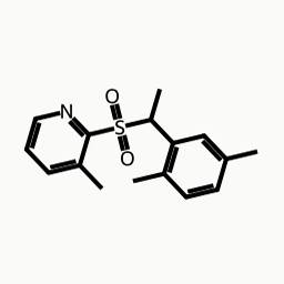 Cc1ccc(C)c(C(C)S(=O)(=O)c2ncccc2C)c1